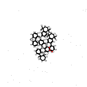 Cc1cc2c3c(c1)N1c4c(cccc4C4(C)CCCCC14C)B3c1ccc(N(c3ccc4c(c3)C(C)(C)CCC4(C)C)c3cccc4oc5ccccc5c34)cc1N2c1cc2c(cc1-c1ccccc1)C(C)(C)CCC2(C)C